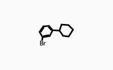 Brc1cccc(C2CCCCC2)c1